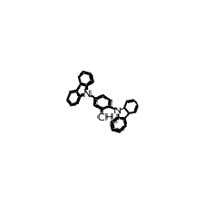 Cc1cc(-n2c3ccccc3c3ccccc32)ccc1N1c2ccccc2C2C=CC=CC21